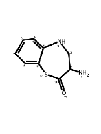 NC1CNc2ccccc2SC1=O